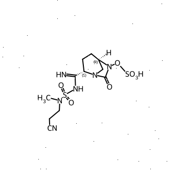 CN(CCC#N)S(=O)(=O)NC(=N)[C@@H]1CC[C@@H]2CN1C(=O)N2OS(=O)(=O)O